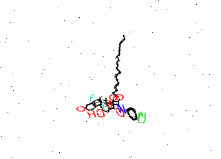 CCCCCCCCCCCCCCCC(=O)OCC(=O)[C@@]12ON(c3ccc(Cl)cc3)C[C@@H]1C[C@H]1[C@@H]3C[C@H](F)C4=CC(=O)C=C[C@]4(C)[C@@]3(F)[C@@H](O)C[C@@]12C